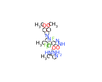 COc1ccc(CN(Cc2ccc(OC)cc2)c2cc(C)c(C(F)(F)F)c(-c3c(Cl)c(OCCN[C@H](C)c4cccnc4N)c4c(=O)[nH]cnc4c3F)n2)cc1